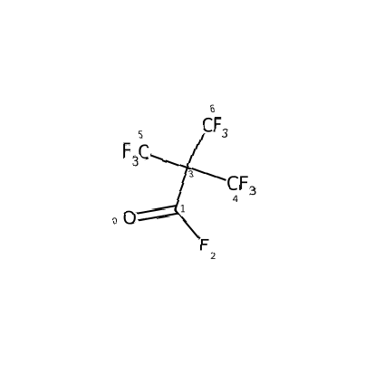 O=C(F)C(C(F)(F)F)(C(F)(F)F)C(F)(F)F